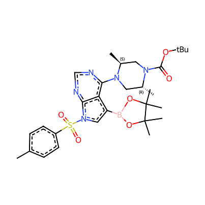 Cc1ccc(S(=O)(=O)n2cc(B3OC(C)(C)C(C)(C)O3)c3c(N4C[C@@H](C)N(C(=O)OC(C)(C)C)C[C@@H]4C)ncnc32)cc1